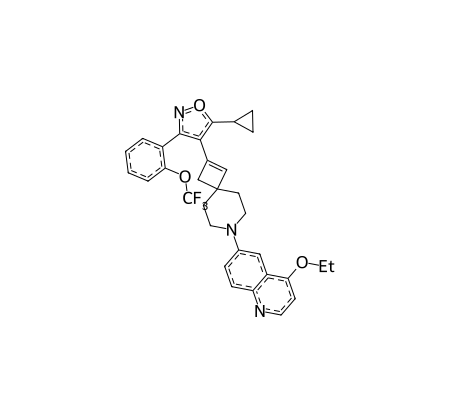 CCOc1ccnc2ccc(N3CCC4(C=C(c5c(-c6ccccc6OC(F)(F)F)noc5C5CC5)C4)CC3)cc12